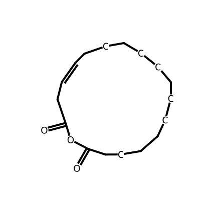 O=C1C/C=C\CCCCCCCCCCCCC(=O)O1